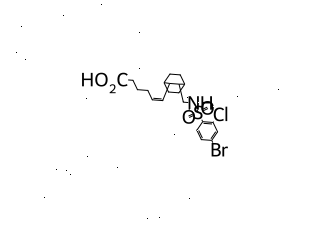 O=C(O)CCC/C=C\C1C2CCC(CC2)C1CNS(=O)(=O)c1ccc(Br)cc1Cl